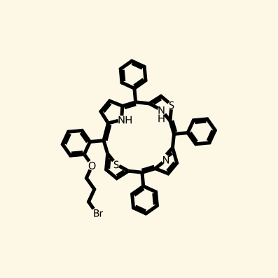 BrCCCOc1ccccc1/C1=c2\cc/c([nH]2)=C(\c2ccccc2)C2=CS/C(=C(\c3ccccc3)C3=N/C(=C(/c4ccccc4)c4ccc1s4)C=C3)N2